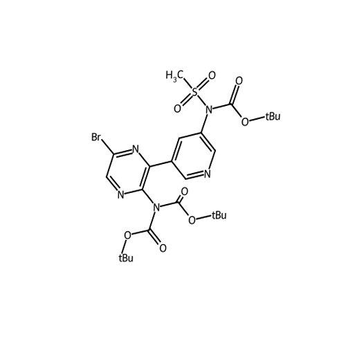 CC(C)(C)OC(=O)N(C(=O)OC(C)(C)C)c1ncc(Br)nc1-c1cncc(N(C(=O)OC(C)(C)C)S(C)(=O)=O)c1